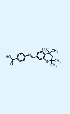 CC1(C)CC(C)(C)c2ccc(C=Nc3ccc(C(=O)O)cc3)cc2S1